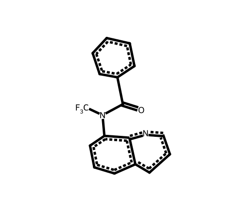 O=C(c1ccccc1)N(c1cccc2cccnc12)C(F)(F)F